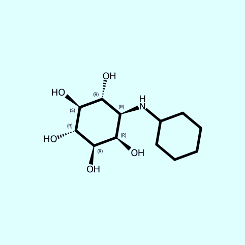 O[C@@H]1[C@@H](O)[C@H](O)[C@@H](NC2CCCCC2)[C@@H](O)[C@H]1O